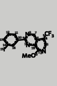 COc1ncc(C(F)(F)F)c2cnc(-c3cccc(I)c3)nc12